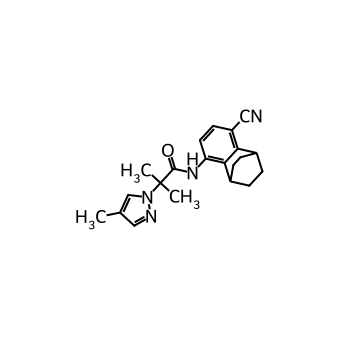 Cc1cnn(C(C)(C)C(=O)Nc2ccc(C#N)c3c2C2CCC3CC2)c1